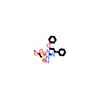 COC(=O)CS(=O)(=O)Nc1nc(Oc2ccccc2)cc(-c2ccccc2)n1